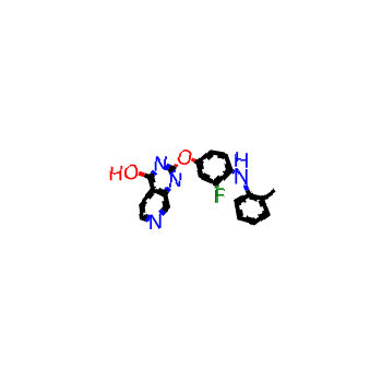 Cc1ccccc1Nc1ccc(Oc2nc(O)c3ccncc3n2)cc1F